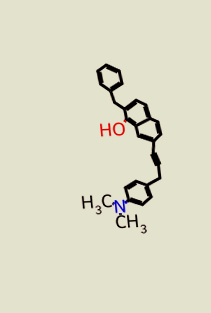 CN(C)c1ccc(CC#Cc2ccc3ccc(Cc4ccccc4)c(O)c3c2)cc1